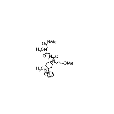 CNC(=O)CN(C)C(=O)CN1C[C@]2(CC[C@@](c3ccccc3)(N(C)C)CC2)N(CCCOC)C1=O